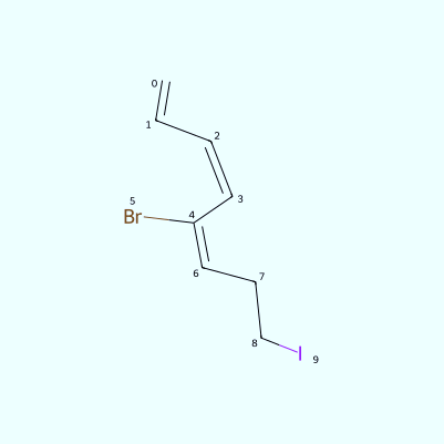 C=C/C=C\C(Br)=C/CCI